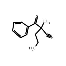 CCCC(C)(C#N)C(=S)c1ccccc1